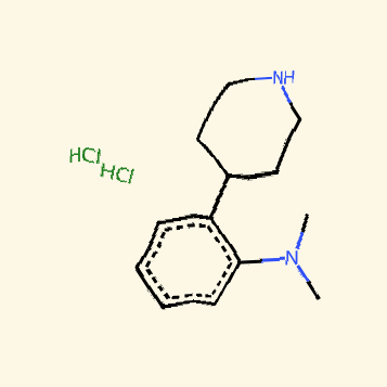 CN(C)c1ccccc1C1CCNCC1.Cl.Cl